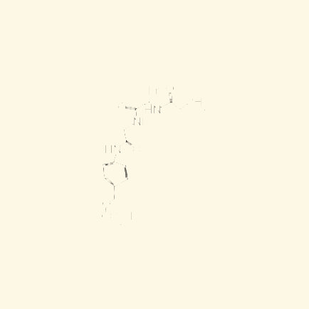 CC(C)[C@H](NC(=O)CP)C(=O)NCC(=O)Nc1ccc(COC(=O)O)cc1